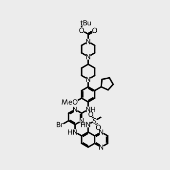 COc1cc(N2CCC(N3CCN(C(=O)OC(C)(C)C)CC3)CC2)c(C2CCCC2)cc1Nc1ncc(Br)c(Nc2ccc3nccnc3c2NS(C)(=O)=O)n1